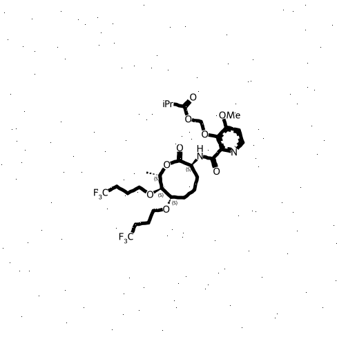 COc1ccnc(C(=O)N[C@H]2CCC[C@H](OCCCC(F)(F)F)[C@@H](OCCCC(F)(F)F)[C@H](C)OC2=O)c1OCOC(=O)C(C)C